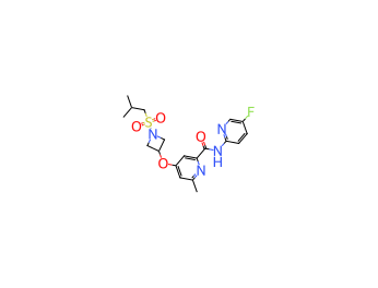 Cc1cc(OC2CN(S(=O)(=O)CC(C)C)C2)cc(C(=O)Nc2ccc(F)cn2)n1